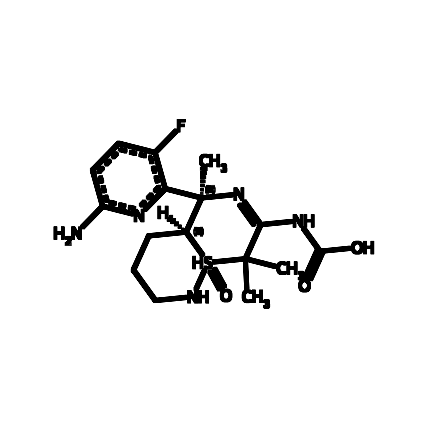 CC1(C)C(NC(=O)O)=N[C@](C)(c2nc(N)ccc2F)[C@@H]2CCCN[SH]21=O